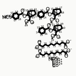 COC(=O)C1C(OC(=O)c2ccccc2)CC2CCC1N2C.COC(=O)C1C(OC(=O)c2ccccc2)CC2CCC1N2C.COC(=O)C1C(OC(=O)c2ccccc2)CC2CCC1N2C.O=C([O-])CCCCCCCCC(=O)[O-].O=C([O-])CCCCCCCCC(=O)[O-].[Co+2].[Co+2].[Co+2].[N-]=C=S.[N-]=C=S